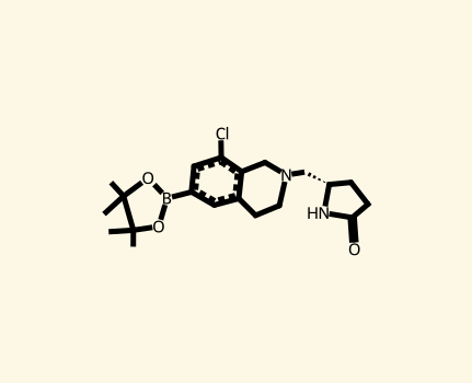 CC1(C)OB(c2cc(Cl)c3c(c2)CCN(C[C@@H]2CCC(=O)N2)C3)OC1(C)C